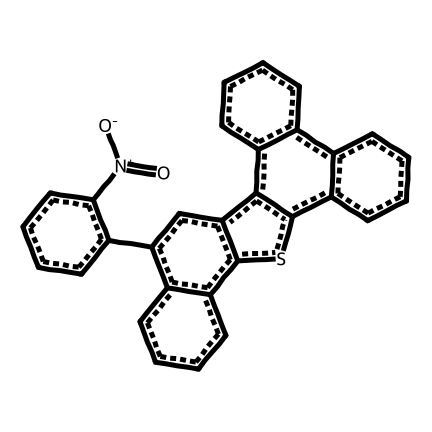 O=[N+]([O-])c1ccccc1-c1cc2c(sc3c4ccccc4c4ccccc4c23)c2ccccc12